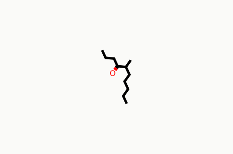 CCCCCC(C)C(=O)CCC